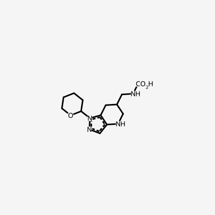 O=C(O)NCC1CNc2cnn(C3CCCCO3)c2C1